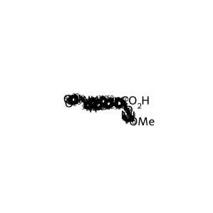 COc1ccnc(OCCC2(C(=O)O)CC=C(C3=CC[C@@]4(C)C(CC[C@]5(C)C4CC[C@@H]4[C@H]6CCC[C@]6(NCCN6CCS(=O)(=O)CC6)CC[C@]45C)C3(C)C)CC2)n1